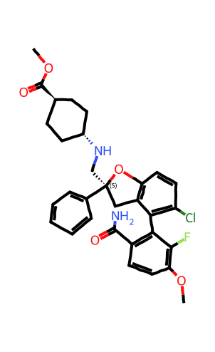 COc1ccc(C(N)=O)c(-c2c(Cl)ccc3c2C[C@@](CN[C@H]2CC[C@H](C(=O)OC)CC2)(c2ccccc2)O3)c1F